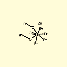 C[CH2][Ti](=[O])([CH2]C)([O]C(C)C)([O]C(C)C)([CH](C)C)[CH](C)C.[Zn]